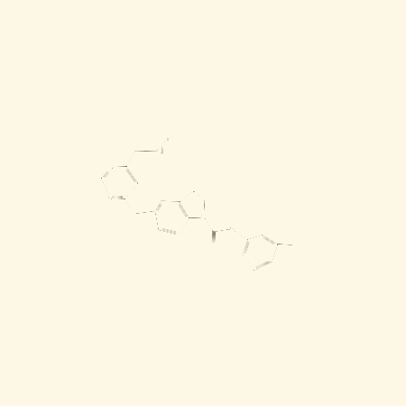 CC(C)NCc1cc(Oc2ccc3c(c2)CCN3C(=O)Nc2cccc(C(F)(F)F)c2)ncn1